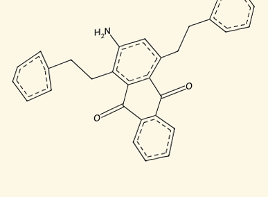 Nc1cc(CCc2ccccc2)c2c(c1CCc1ccccc1)C(=O)c1ccccc1C2=O